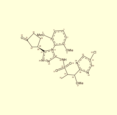 COc1cccc(OC)c1-n1c(NS(=O)(=O)C(C)C(OC)c2ncc(Cl)cn2)nnc1[C@@H]1CCC(=O)C1